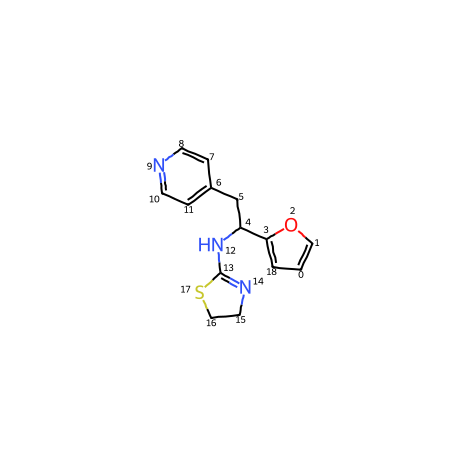 c1coc(C(Cc2ccncc2)NC2=NCCS2)c1